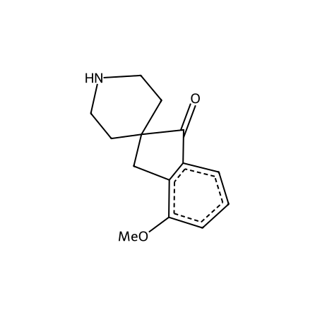 COc1cccc2c1CC1(CCNCC1)C2=O